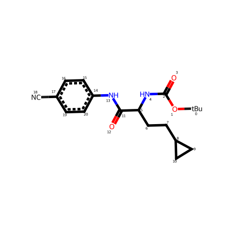 CC(C)(C)OC(=O)NC(CCC1CC1)C(=O)Nc1ccc(C#N)cc1